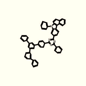 C1=CC(c2nc(-c3ccccc3)nc(-c3ccc4c5c6ccccc6ccc5n(-c5ccccc5)c4c3)n2)CC=C1c1cc(-c2ccccc2)cc(-c2cccc(-c3ccccc3)c2)c1